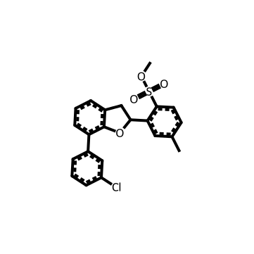 COS(=O)(=O)c1ccc(C)cc1C1Cc2cccc(-c3cccc(Cl)c3)c2O1